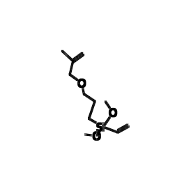 C=C[Si](CCCOCC(=C)C)(OC)OC